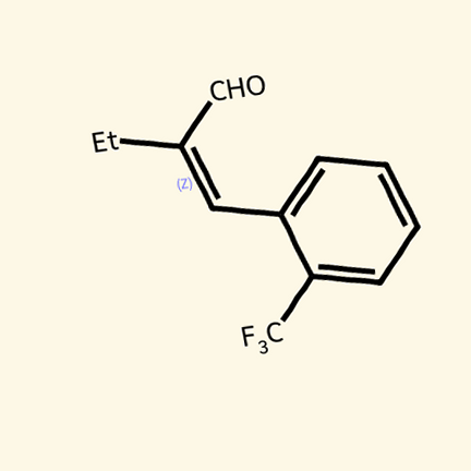 CC/C(C=O)=C/c1ccccc1C(F)(F)F